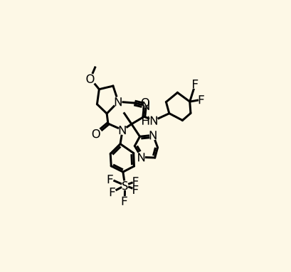 COC1CC(C(=O)N(c2ccc(S(F)(F)(F)(F)F)cc2)C(C)(C(=O)NC2CCC(F)(F)CC2)c2cnccn2)N(C#N)C1